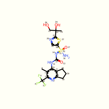 Cc1c(C(F)(F)F)nc2c(c1NC(=O)N=[S@](N)(=O)c1cnc(C(C)(O)CO)s1)CCC2